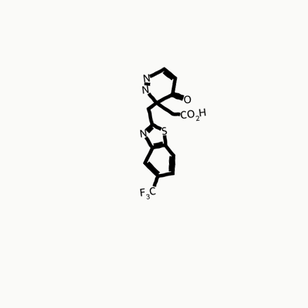 O=C(O)CC1(Cc2nc3cc(C(F)(F)F)ccc3s2)N=NC=CC1=O